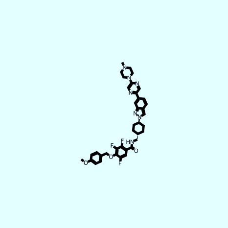 COc1ccc(COc2c(F)cc(C(=O)NC[C@H]3CC[C@H](n4cc5ccc(-c6cnc(N7CCN(C)CC7)cn6)cc5n4)CC3)c(F)c2F)cc1